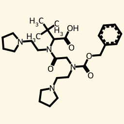 CC(C)(C)C(C(=O)O)N(CCN1CCCC1)C(=O)CN(CCN1CCCC1)C(=O)OCc1ccccc1